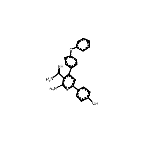 N=C(N)c1c(-c2ccc(Oc3ccccc3)cc2)cc(-c2ccc(O)cc2)nc1N